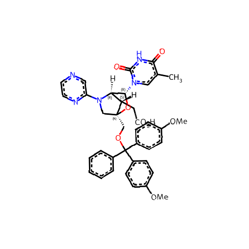 COc1ccc(C(OC[C@@]23CN(c4cnccn4)[C@@H]([C@H](n4cc(C)c(=O)[nH]c4=O)O2)[C@@H]3CC(=O)O)(c2ccccc2)c2ccc(OC)cc2)cc1